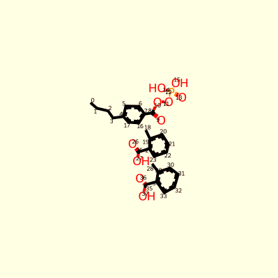 CCCCc1ccc(C(=O)OOP(=O)(O)O)cc1.Cc1ccccc1C(=O)O.Cc1ccccc1C(=O)O